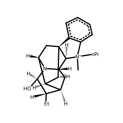 CCC[N+]1(C)c2ccccc2[C@@]23C[C@H]4[C@H]([C@H]5C[C@@H]([C@@H]21)N4[C@H](O)[C@H]5CC)[C@H]3O